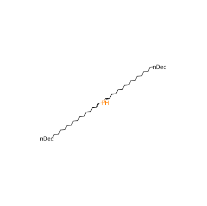 CCCCCCCCCCCCCCCCCCCCCCCC=CPC=CCCCCCCCCCCCCCCCCCCCCCCC